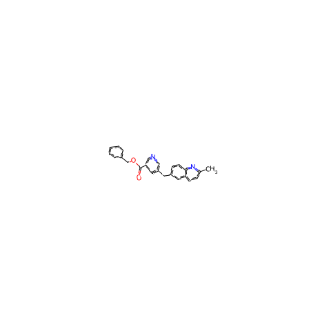 Cc1ccc2cc(Cc3cncc(C(=O)OCc4ccccc4)c3)ccc2n1